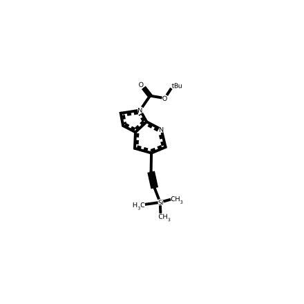 CC(C)(C)OC(=O)n1ccc2cc(C#C[Si](C)(C)C)cnc21